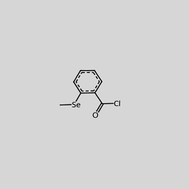 C[Se]c1ccccc1C(=O)Cl